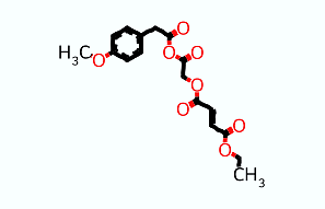 CCOC(=O)C=CC(=O)OCC(=O)OC(=O)Cc1ccc(OC)cc1